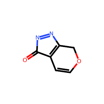 O=C1N=NC2=C1C=COC2